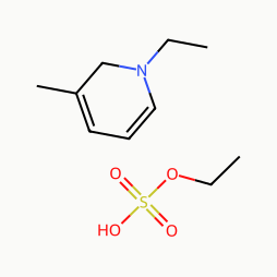 CCN1C=CC=C(C)C1.CCOS(=O)(=O)O